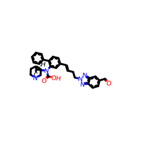 O=Cc1ccc2nn(CC/C=C/c3ccc(-c4ccccc4)c(N(C(=O)O)[C@H]4CN5CCC4CC5)c3)nc2c1